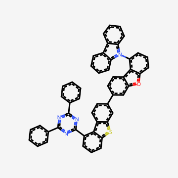 c1ccc(-c2nc(-c3ccccc3)nc(-c3cccc4sc5cc(-c6ccc7c(c6)oc6cccc(-n8c9ccccc9c9ccccc98)c67)ccc5c34)n2)cc1